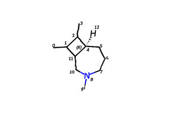 CC1C(C)[C@H]2CCCN(C)CC12